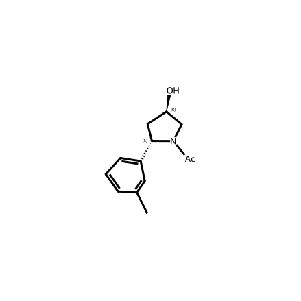 CC(=O)N1C[C@H](O)C[C@H]1c1cccc(C)c1